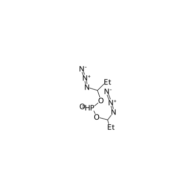 CCC(N=[N+]=[N-])O[PH](=O)OC(CC)N=[N+]=[N-]